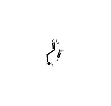 C=CCN.N=S